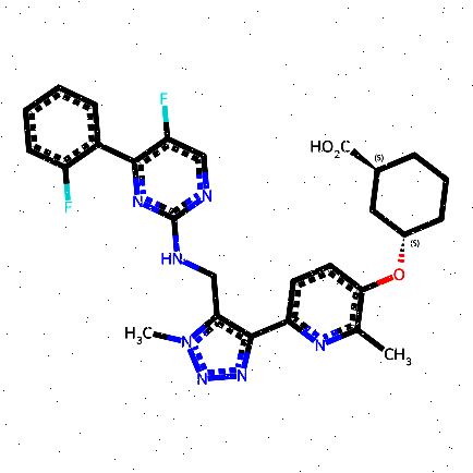 Cc1nc(-c2nnn(C)c2CNc2ncc(F)c(-c3ccccc3F)n2)ccc1O[C@H]1CCC[C@H](C(=O)O)C1